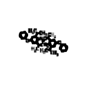 CC(C)c1cc(Oc2ccccc2)cc(C(C)C)c1N=C=Nc1c(C(C)C)cc(Oc2ccccc2)cc1C(C)C